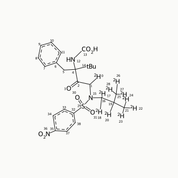 [2H]C(C(=O)C(Cc1ccccc1)(NC(=O)O)C(C)(C)C)N(C([2H])([2H])C([2H])(C([2H])([2H])[2H])C([2H])([2H])[2H])S(=O)(=O)c1ccc([N+](=O)[O-])cc1